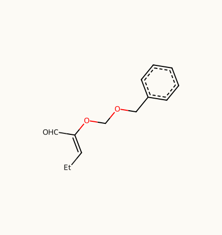 CCC=C(C=O)OCOCc1ccccc1